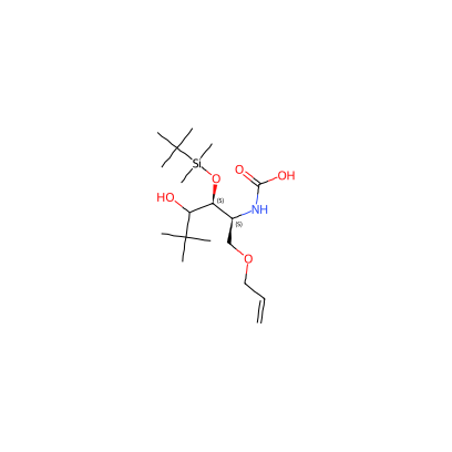 C=CCOC[C@H](NC(=O)O)[C@H](O[Si](C)(C)C(C)(C)C)C(O)C(C)(C)C